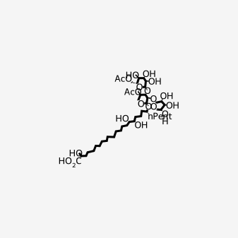 CCCCC[C@H](CCC[C@H](O)[C@H](O)CCCCCCCCCCCCC[C@H](O)C(=O)O)O[C@@H]1OC[C@@H](OC(C)=O)[C@H](O[C@@H]2O[C@H](COC(C)=O)[C@@H](O)[C@H](O)[C@H]2O)[C@H]1O[C@@H]1OC[C@@H](O)[C@H](O)[C@H]1O